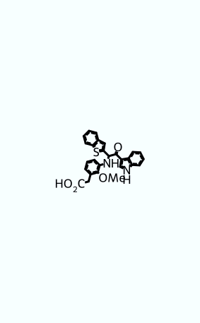 COc1c(CC(=O)O)cccc1NC(C(=O)c1c[nH]c2ccccc12)c1cc2ccccc2s1